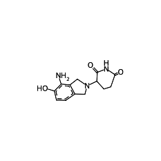 Nc1c(O)ccc2c1CN(C1CCC(=O)NC1=O)C2